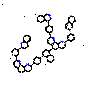 c1cc(-c2ccc3ccccc3n2)cc(-c2ccc3ccc4ccc(-c5ccc(-c6ccc(-c7cc8ccc(-c9cccc(-c%10ccc%11ccccc%11c%10)c9)nc8c8nc(-c9ccc(-c%10cncc%11ccccc%10%11)cc9)ccc78)c7ccccc67)cc5)nc4c3n2)c1